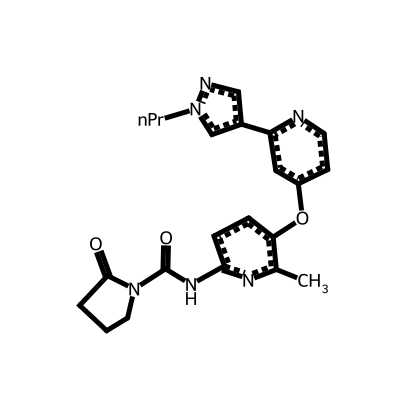 CCCn1cc(-c2cc(Oc3ccc(NC(=O)N4CCCC4=O)nc3C)ccn2)cn1